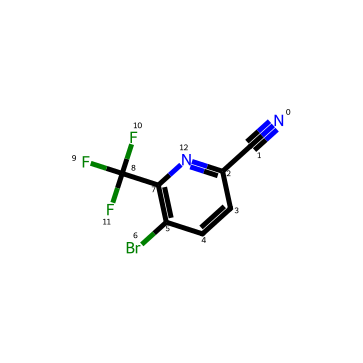 N#Cc1ccc(Br)c(C(F)(F)F)n1